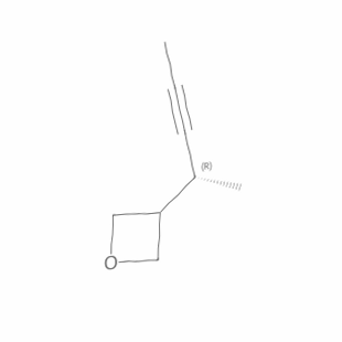 CC#C[C@H](C)C1COC1